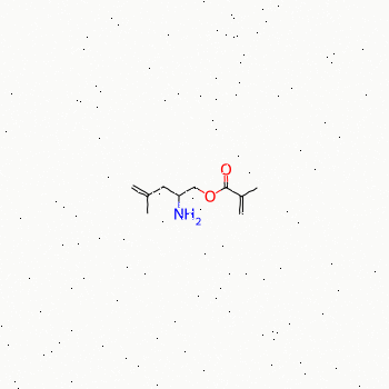 C=C(C)CC(N)COC(=O)C(=C)C